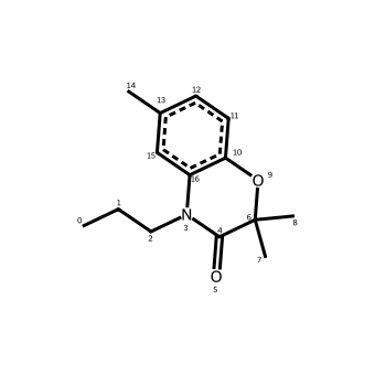 CCCN1C(=O)C(C)(C)Oc2ccc(C)cc21